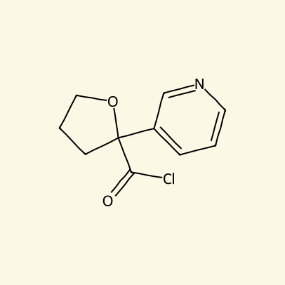 O=C(Cl)C1(c2cccnc2)CCCO1